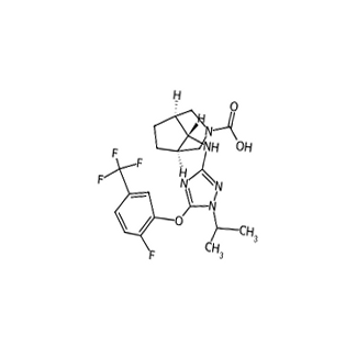 CC(C)n1nc(N[C@@H]2[C@@H]3CC[C@H]2CN(C(=O)O)C3)nc1Oc1cc(C(F)(F)F)ccc1F